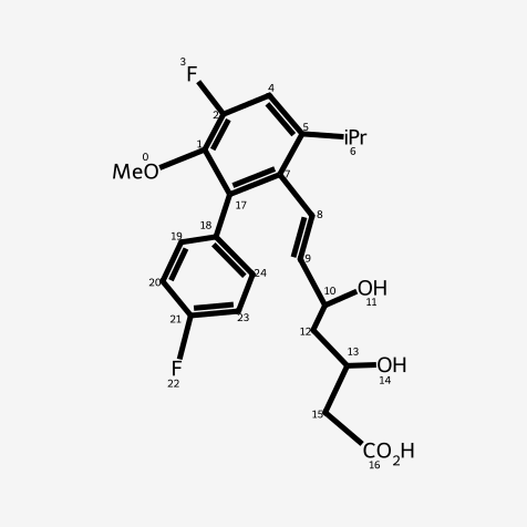 COc1c(F)cc(C(C)C)c(C=CC(O)CC(O)CC(=O)O)c1-c1ccc(F)cc1